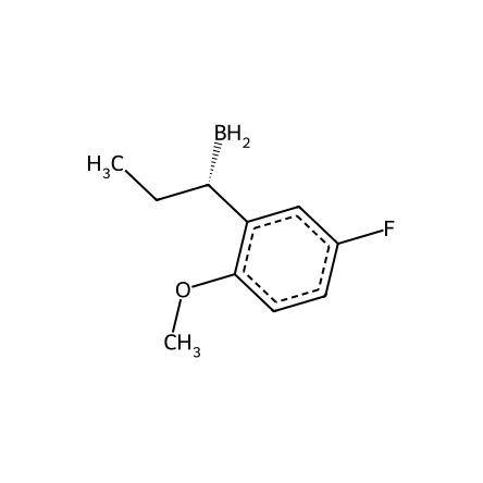 B[C@@H](CC)c1cc(F)ccc1OC